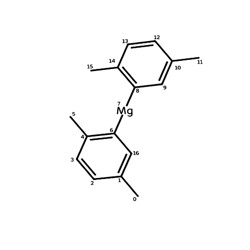 Cc1ccc(C)[c]([Mg][c]2cc(C)ccc2C)c1